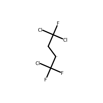 FC(F)(Cl)[CH]CC(F)(Cl)Cl